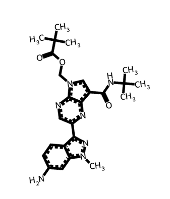 Cn1nc(-c2cnc3c(n2)c(C(=O)NC(C)(C)C)cn3COC(=O)C(C)(C)C)c2ccc(N)cc21